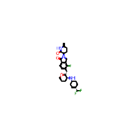 C=C1CCC(N2Cc3c(ccc(C[C@H]4OCCC[C@@H]4N[C@H]4CC[C@@H](C(F)F)CC4)c3F)C2=O)C(=O)N1